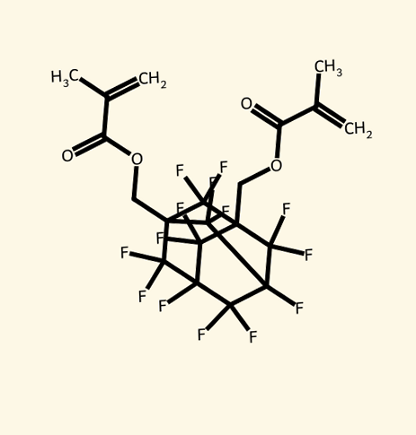 C=C(C)C(=O)OCC12C(F)(F)C3(F)C(F)(F)C(F)(C1(F)F)C(F)(F)C(COC(=O)C(=C)C)(C3(F)F)C2(F)F